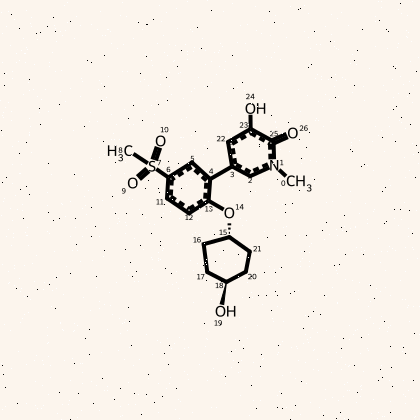 Cn1cc(-c2cc(S(C)(=O)=O)ccc2O[C@H]2CC[C@H](O)CC2)cc(O)c1=O